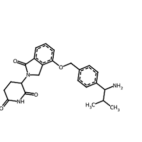 CC(C)C(N)c1ccc(COc2cccc3c2CN(C2CCC(=O)NC2=O)C3=O)cc1